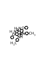 Cc1ccc(Nc2cc(Oc3ccccc3)c(N)c3c2C(=O)c2c(Nc4ccc(C)cc4)cc(Oc4ccccc4)c(N)c2C3=O)cc1